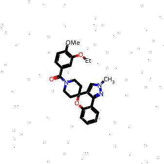 CCOc1cc(C(=O)N2CCC3(CC2)Oc2ccccc2-c2nn(C)cc23)ccc1OC